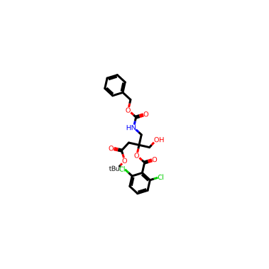 CC(C)(C)OC(=O)CC(CO)(CNC(=O)OCc1ccccc1)OC(=O)c1c(Cl)cccc1Cl